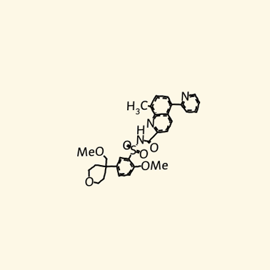 COCC1(c2ccc(OC)c(S(=O)(=O)NC(=O)c3ccc4c(-c5ccccn5)ccc(C)c4n3)c2)CCOCC1